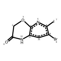 O=C1COc2nc(I)c(Br)cc2N1